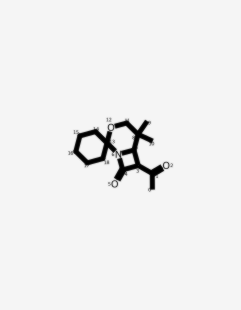 CC(=O)C1C(=O)N2C1C(C)(C)COC21CCCCC1